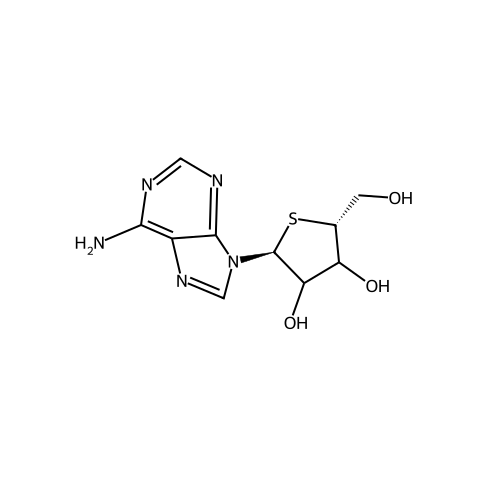 Nc1ncnc2c1ncn2[C@H]1S[C@H](CO)C(O)C1O